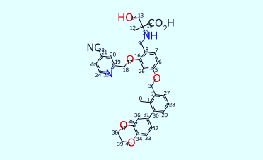 Cc1c(COc2ccc(CN[C@](C)(CO)C(=O)O)c(OCc3cc(C#N)ccn3)c2)cccc1-c1ccc2c(c1)OCCO2